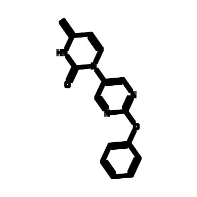 C=C1C=CN(c2cnc(Oc3ccccc3)nc2)C(=O)N1